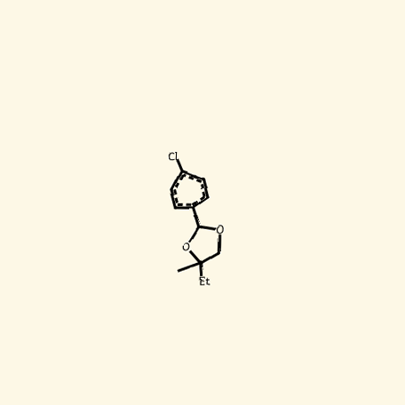 CCC1(C)COC(c2ccc(Cl)cc2)O1